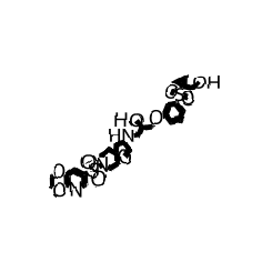 O=S(=O)(c1cnc2c(c1)OCCO2)N1CCC2(CC1)CC(NCC(O)COc1cccc(S(=O)(=O)C3(CO)CC3)c1)CO2